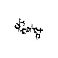 CC(=O)Nc1cc(Oc2cnc3nc(Nc4cc(C(C)(C)C)n([C@@H]5CCOC5)n4)cn3c2)ccn1